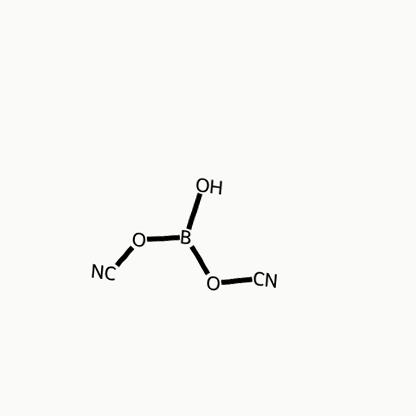 N#COB(O)OC#N